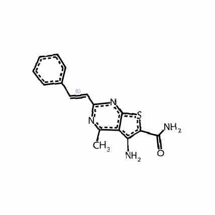 Cc1nc(/C=C/c2ccccc2)nc2sc(C(N)=O)c(N)c12